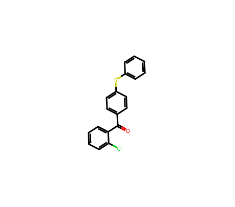 O=C(c1ccc(Sc2cc[c]cc2)cc1)c1ccccc1Cl